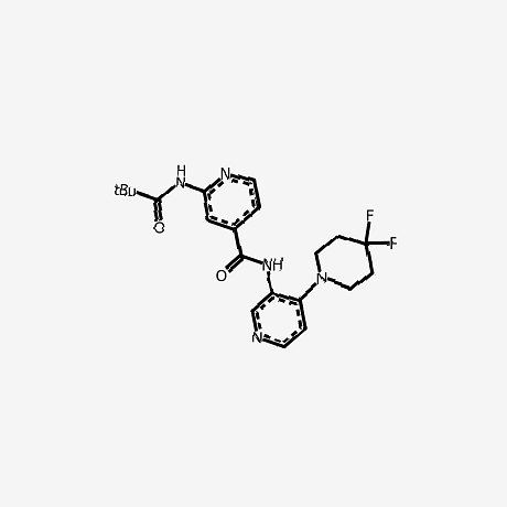 CC(C)(C)C(=O)Nc1cc(C(=O)Nc2cnccc2N2CCC(F)(F)CC2)ccn1